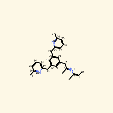 C/C=C(C)\N=C(/C)Cc1cc(Cc2cccc(C)n2)cc(Cc2cccc(C)n2)c1